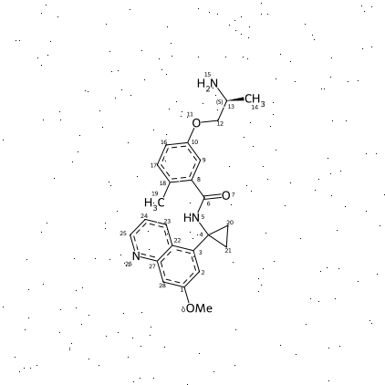 COc1cc(C2(NC(=O)c3cc(OC[C@H](C)N)ccc3C)CC2)c2cccnc2c1